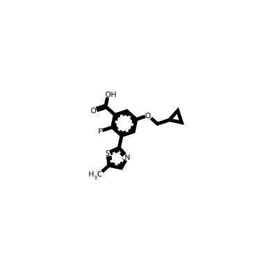 Cc1cnc(-c2cc(OCC3CC3)cc(C(=O)O)c2F)s1